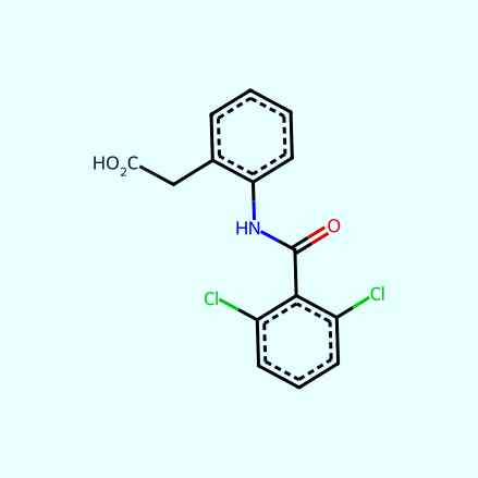 O=C(O)Cc1ccccc1NC(=O)c1c(Cl)cccc1Cl